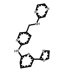 c1cc(Nc2ccc(CNc3cnccn3)cn2)nc(-c2nccs2)c1